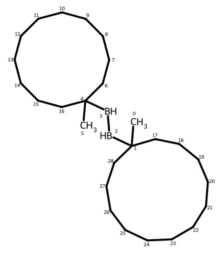 CC1(BBC2(C)CCCCCCCCCCC2)CCCCCCCCCCCC1